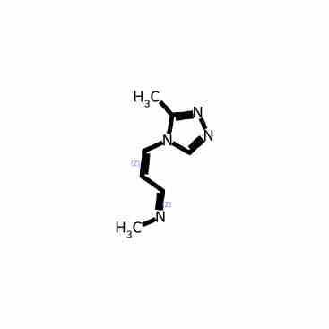 C/N=C\C=C/n1cnnc1C